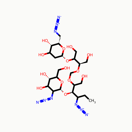 CCC(N=[N+]=[N-])[C@@H](O[C@H]1OC(CO)[C@@H](O)C(O)C1N=[N+]=[N-])C(CO)OCO[C@H](CO)C(CO)O[C@@H]1CC(O)[C@H](O)[C@H](CN=[N+]=[N-])O1